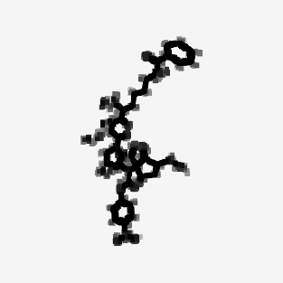 COC1CC(=O)C(C(=O)[C@@H]2CCCN2C(=O)[C@H](C)NC(=O)[C@@H](N)CCCCNC(=O)c2ccccc2)(N(C(=O)Oc2ccc([N+](=O)[O-])cc2)C(C)C)C1=O